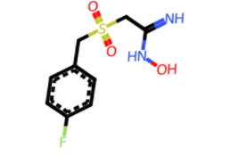 N=C(CS(=O)(=O)Cc1ccc(F)cc1)NO